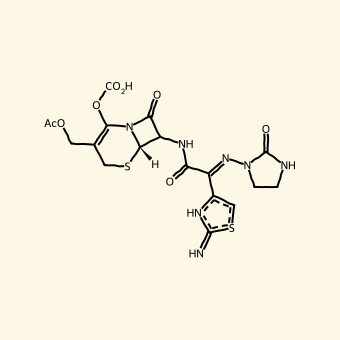 CC(=O)OCC1=C(OC(=O)O)N2C(=O)C(NC(=O)C(=NN3CCNC3=O)c3csc(=N)[nH]3)[C@@H]2SC1